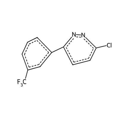 FC(F)(F)c1cccc(-c2ccc(Cl)nn2)c1